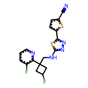 N#Cc1ccc(-c2nnc(NCC3(c4ncccc4F)CC(F)C3)s2)s1